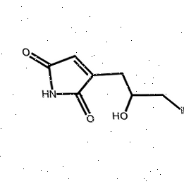 CC(C)CC(O)CC1=CC(=O)NC1=O